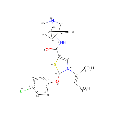 O=C(O)/C=C(\C(=O)O)N1C=C(C(=O)N[C@H]2CN3CCC2CC3)SC1Oc1ccc(Cl)cc1